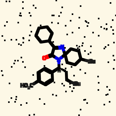 CC(C)(C)CC[C@H](c1ccc(C(=O)O)cc1)N1C(=O)C(C2CCCCC2)=NC12CCC(C(C)(C)C)CC2